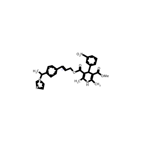 COC(=O)C1=C(C)NC(C)=C(C(=O)OC/C=C/c2ccc(C(C)n3ccnc3)cc2)C1c1cccc([N+](=O)[O-])c1